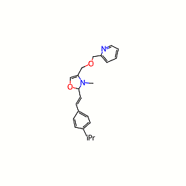 CC(C)c1ccc(/C=C/C2OC=C(COCc3ccccn3)N2C)cc1